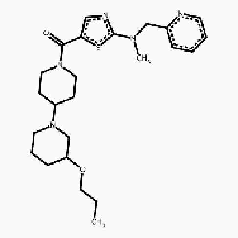 CCCOC1CCCN(C2CCN(C(=O)c3cnc(N(C)Cc4ccccn4)s3)CC2)C1